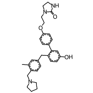 Cc1cc(Cc2ccc(O)cc2-c2ccc(OCCN3CCNC3=O)cc2)ccc1CN1CCCC1